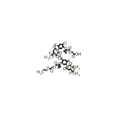 C=CCOC(=O)COC(=O)C1(Oc2cc(-n3c(=O)cc(C(C)(F)F)n(C)c3=O)c(F)cc2Cl)CC1.Cn1c(C(C)(F)F)cc(=O)n(-c2cc(OC3(C(=O)OCC(=O)O)CC3)c(Cl)cc2F)c1=O